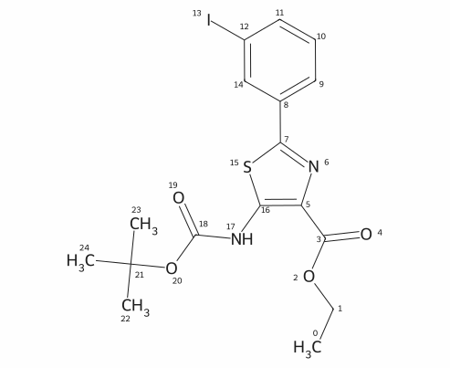 CCOC(=O)c1nc(-c2cccc(I)c2)sc1NC(=O)OC(C)(C)C